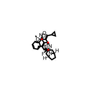 COC(=O)c1cnc(N2[C@@H]3CC[C@H]2C[C@@H](OCc2c(-c4ccccc4OC(F)F)noc2C2CC2)C3)cc1C